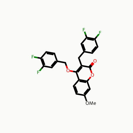 COc1ccc2c(OCc3ccc(F)c(F)c3)c(Cc3ccc(F)c(F)c3)c(=O)oc2c1